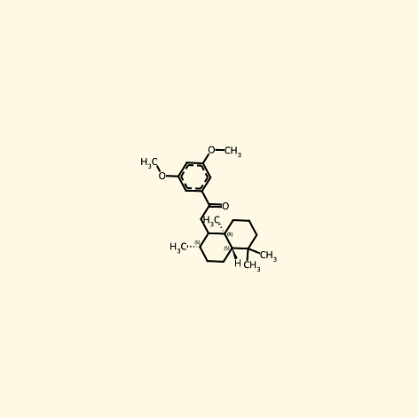 COc1cc(OC)cc(C(=O)CC2[C@@H](C)CC[C@H]3C(C)(C)CCC[C@]23C)c1